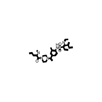 C=C/C=C(\N=C)C(=O)N1CCN(C(=C)c2ccc(NS(=O)(=O)/C(C=C)=C(\N=C/C)C(=C)C=C)c(C)c2)CC1